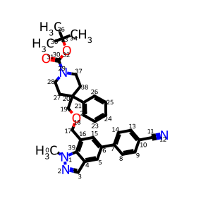 Cn1ncc2cc(-c3ccc(C#N)cc3)cc(COCC3(c4ccccc4)CCN(C(=O)OC(C)(C)C)CC3)c21